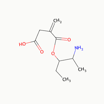 C=C(CC(=O)O)C(=O)OC(CC)C(C)N